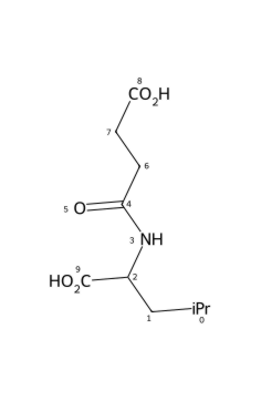 CC(C)CC(NC(=O)CCC(=O)O)C(=O)O